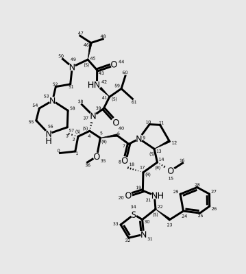 CC[C@H](C)[C@@H]([C@@H](CC(=O)N1CCC[C@H]1[C@H](OC)[C@@H](C)C(=O)N[C@@H](Cc1ccccc1)c1nccs1)OC)N(C)C(=O)[C@@H](NC(=O)[C@H](C(C)C)N(C)CCN1CCNCC1)C(C)C